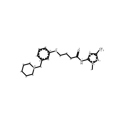 Cn1nc(C(F)(F)F)nc1NC(=O)CCCOc1cccc(CN2CCCCC2)c1